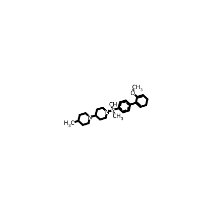 COC1=CCCC=C1c1ccc(S(C)(C)N2CCC(N3CCC(C)CC3)CC2)cc1